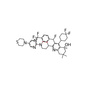 CC1(C)Cc2nc(C3CCN(c4ncc(N5CCSCC5)cn4)CC3)c(C(F)c3ccc(C(F)(F)F)cc3)c(C3CCC(F)(F)CC3)c2[C@@H](O)C1